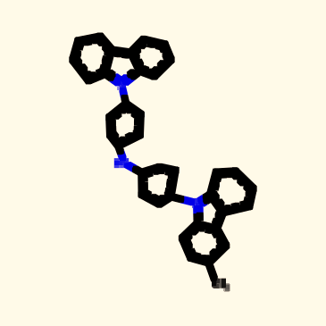 Cc1ccc2c(c1)c1ccccc1n2-c1ccc(Nc2ccc(-n3c4ccccc4c4ccccc43)cc2)cc1